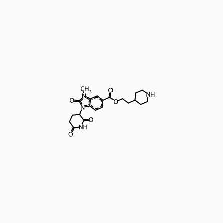 Cn1c(=O)n(C2CCC(=O)NC2=O)c2ccc(C(=O)OCCC3CCNCC3)cc21